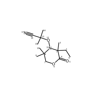 CCC1(C)C(=O)OCC(C)(C)N1OC(C)(C)C#N